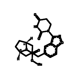 CC(C)(C)OC(=O)N1[C@@H]2CC[C@H]1CN(Cc1ccc3onc(N4CCC(=O)NC4=O)c3c1)C2